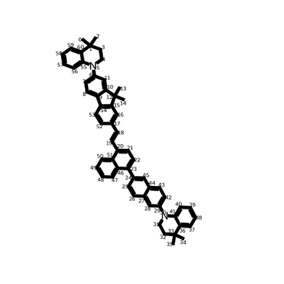 CC1(C)CCN(c2ccc3c(c2)C(C)(C)c2cc(/C=C/c4ccc(-c5ccc6cc(N7CCC(C)(C)c8ccccc87)ccc6c5)c5ccccc45)ccc2-3)c2ccccc21